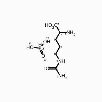 NC(=O)NCCC[C@H](N)C(=O)O.O=[PH](O)O